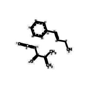 C=C(C)C(=O)N=C=O.OCC=Cc1ccccc1